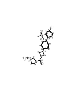 CS(=O)(=O)c1cc(Cl)ccc1-c1ccc(C2CN(C(=O)N3CC[C@H](N)C3)C2)cc1